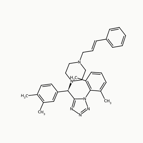 Cc1ccc([C@H](c2nnnn2-c2c(C)cccc2C)N2CCN(C/C=C/c3ccccc3)CC2)cc1C